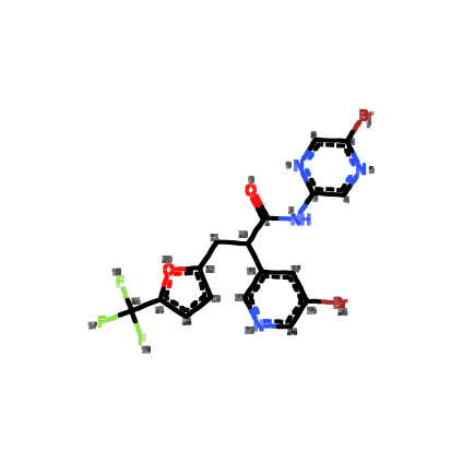 O=C(Nc1cnc(Br)cn1)C(Cc1ccc(C(F)(F)F)o1)c1cncc(Br)c1